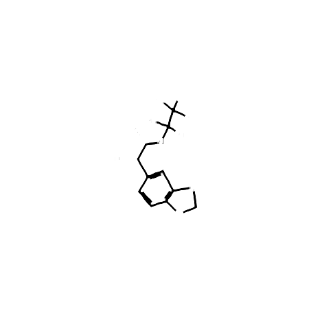 Cl.[2H]C([2H])([2H])C([2H])([2H])N[C@@H](C)Cc1ccc2c(c1)OCO2